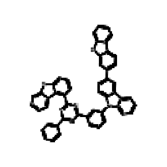 c1ccc(-c2nc(-c3cccc(-n4c5ccccc5c5cc(-c6ccc7c(c6)oc6ccccc67)ccc54)c3)nc(-c3cccc4oc5ccccc5c34)n2)cc1